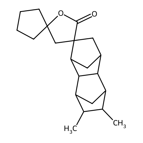 CC1C(C)C2CC1C1C3CC(C21)C1(C3)CC2(CCCC2)OC1=O